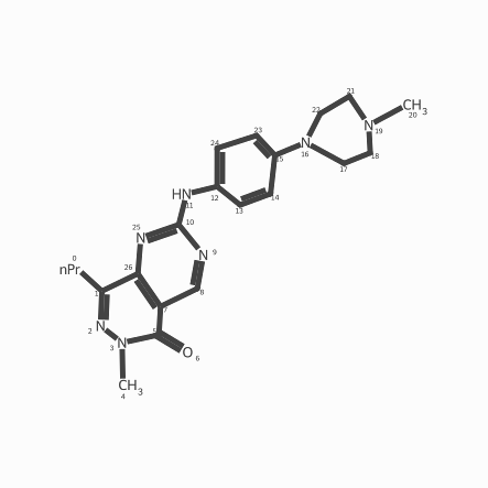 CCCc1nn(C)c(=O)c2cnc(Nc3ccc(N4CCN(C)CC4)cc3)nc12